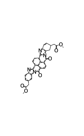 COC(=O)Cc1ccc2nc3c4ccc5c6c(ccc(c(=O)n3c2c1)c46)c(=O)n1c2c(nc51)C=CC(CC(=O)OC)C2